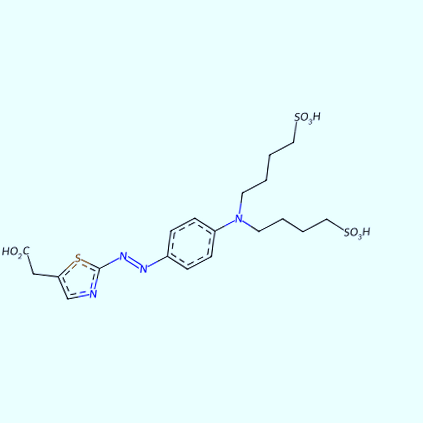 O=C(O)Cc1cnc(N=Nc2ccc(N(CCCCS(=O)(=O)O)CCCCS(=O)(=O)O)cc2)s1